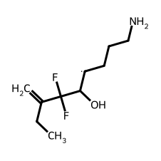 C=C(CC)C(F)(F)C(O)[CH]CCCN